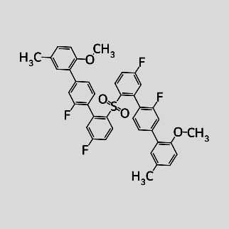 COc1ccc(C)cc1-c1ccc(-c2cc(F)ccc2S(=O)(=O)c2ccc(F)cc2-c2ccc(-c3cc(C)ccc3OC)cc2F)c(F)c1